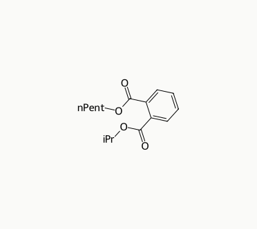 CCCCCOC(=O)c1ccccc1C(=O)OC(C)C